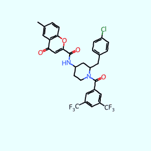 Cc1ccc2oc(C(=O)NC3CCN(C(=O)c4cc(C(F)(F)F)cc(C(F)(F)F)c4)C(Cc4ccc(Cl)cc4)C3)cc(=O)c2c1